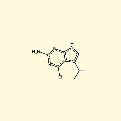 CC(C)c1c[nH]c2nc(N)nc(Cl)c12